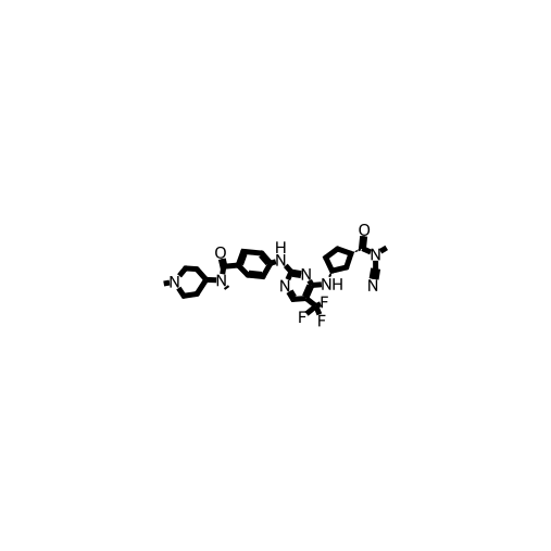 CN1CCC(N(C)C(=O)c2ccc(Nc3ncc(C(F)(F)F)c(N[C@@H]4CC[C@H](C(=O)N(C)C#N)C4)n3)cc2)CC1